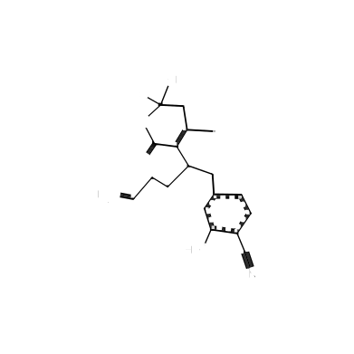 C=CCCC(Cc1ccc(C#N)c(C)c1)C1=C(C)CC(C)(C)OC1=O